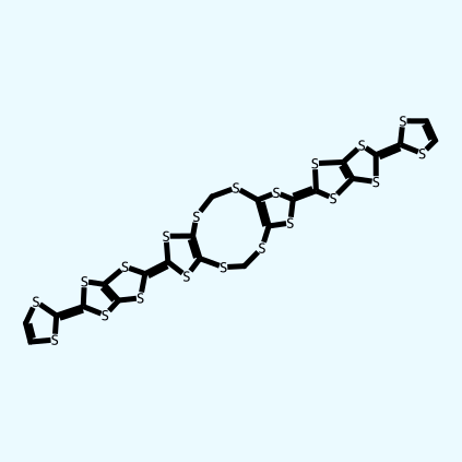 C1=CSC(=C2SC3=C(S2)SC(=C2SC4=C(SCSC5=C(SCS4)SC(=C4SC6=C(SC(=C7SC=CS7)S6)S4)S5)S2)S3)S1